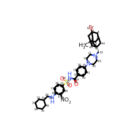 C[C@]12CC3CC(Br)(C1)C[C@@](CN1CCN(c4ccc(C(=O)NS(=O)(=O)c5ccc(NCC6CCCCC6)c([N+](=O)[O-])c5)cc4)CC1)(C3)C2